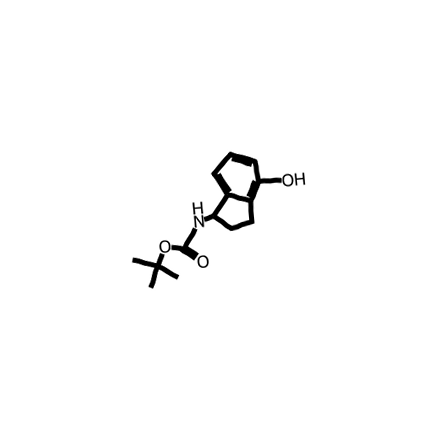 CC(C)(C)OC(=O)NC1CCc2c(O)cccc21